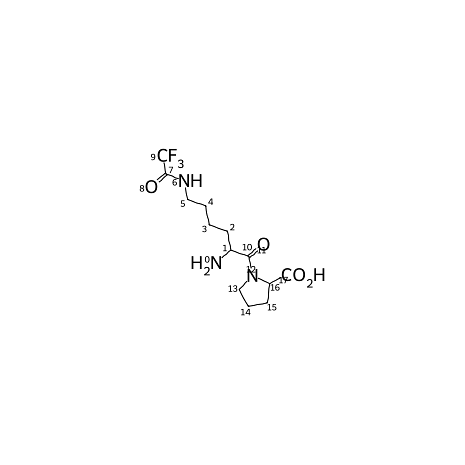 NC(CCCCNC(=O)C(F)(F)F)C(=O)N1CCCC1C(=O)O